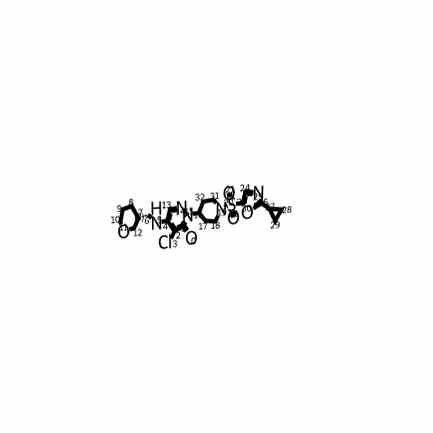 O=c1c(Cl)c(NC[C@H]2CCCOC2)cnn1C1CCN(S(=O)(=O)c2cnc(C3CC3)o2)CC1